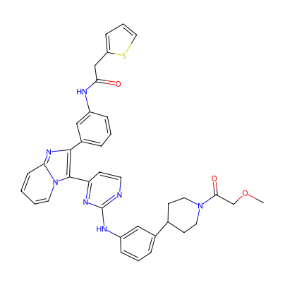 COCC(=O)N1CCC(c2cccc(Nc3nccc(-c4c(-c5cccc(NC(=O)Cc6cccs6)c5)nc5ccccn45)n3)c2)CC1